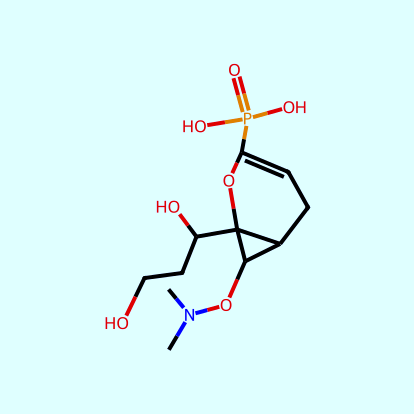 CN(C)OC1C2CC=C(P(=O)(O)O)OC21C(O)CCO